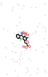 Cc1c(O)c(/C(=N\O)c2ccccc2F)cc2c1OC(C(=O)O)C2